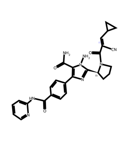 N#C/C(=C\C1CC1)C(=O)N1CCC[C@H]1c1nc(-c2ccc(C(=O)Nc3ccccn3)cc2)c(C(N)=O)n1N